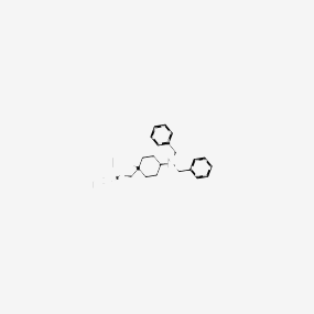 CCCOCC1(O)CCC(N(Cc2ccccc2)Cc2ccccc2)CC1